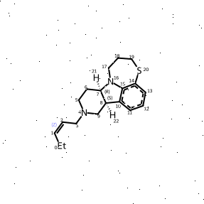 CC/C=C\CN1CC[C@@H]2[C@H](C1)c1cccc3c1N2CCCS3